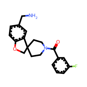 NCc1ccc2c(c1)C1(CCN(C(=O)c3cccc(F)c3)CC1)CO2